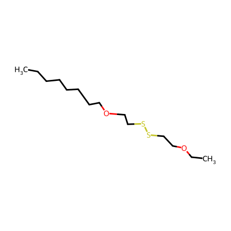 CCCCCCCCOCCSSCCOCC